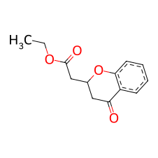 CCOC(=O)CC1CC(=O)c2ccccc2O1